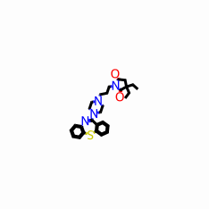 CCC1(CC)CC(=O)N(CCCN2CCN(C3=Nc4ccccc4Sc4ccccc43)CC2)C1=O